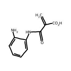 C=C(C(=O)O)C(=O)Nc1ccccc1N